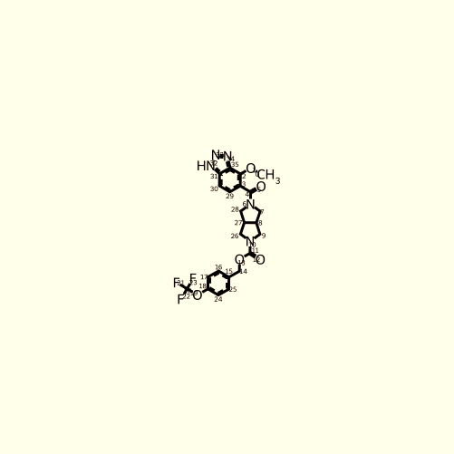 COc1c(C(=O)N2CC3CN(C(=O)OCc4ccc(OC(F)(F)F)cc4)CC3C2)ccc2[nH]nnc12